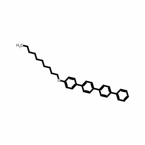 CCCCCCCCCCOc1ccc(-c2ccc(-c3ccc(-c4ccccc4)cc3)cc2)cc1